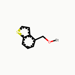 [CH2]COCc1cccc2sccc12